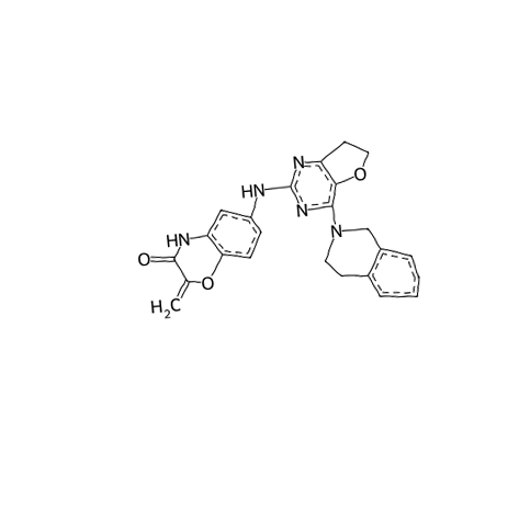 C=C1Oc2ccc(Nc3nc4c(c(N5CCc6ccccc6C5)n3)OCC4)cc2NC1=O